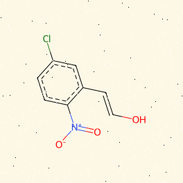 O=[N+]([O-])c1ccc(Cl)cc1C=CO